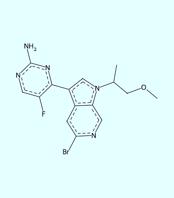 COCC(C)n1cc(-c2nc(N)ncc2F)c2cc(Br)ncc21